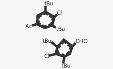 CC(=O)c1cc(C(C)(C)C)c(Cl)c(C(C)(C)C)c1.CC(C)(C)c1cc(C=O)cc(C(C)(C)C)c1Cl